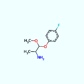 COC(Oc1ccc(F)cc1)C(C)N